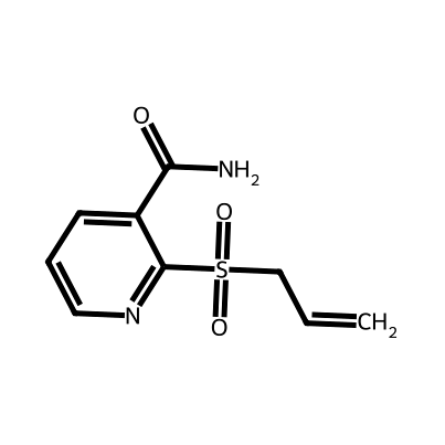 C=CCS(=O)(=O)c1ncccc1C(N)=O